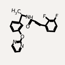 C[C@H](NC(=O)/C=C/c1cccc(F)c1F)c1cccc(Oc2ncccn2)c1